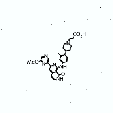 COc1cncc(-c2cc3cc[nH]c(=O)c3c(Nc3ccc(C4CCN(CCC(=O)O)CC4)c(C)c3)n2)n1